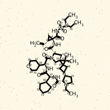 C=C[C@@H]1C[C@]1(NC(=O)[C@@H]1C[C@@]2(CN1C(=O)[C@@H](NC(=O)[C@@H](NC(=O)[C@@H]1CCCN1CC)C1CCCCC1)C1CCOCC1)C(C)(C)C21CCC1)C(=O)NS(=O)(=O)N(CC)CC